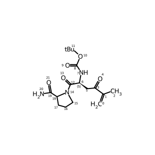 C=C(C)C(=O)C[C@H](NC(=O)OC(C)(C)C)C(=O)N1CCCC1C(N)=O